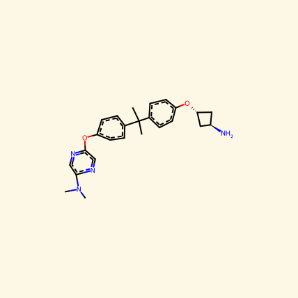 CN(C)c1cnc(Oc2ccc(C(C)(C)c3ccc(O[C@H]4C[C@H](N)C4)cc3)cc2)cn1